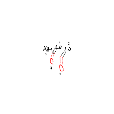 [AlH3].[O]=[La].[O]=[La]